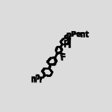 CCCCC[SiH]1CCC(c2ccc(-c3ccc(C4CCC(CCC)CC4)cc3)c(F)c2)CC1